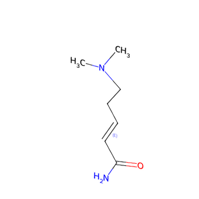 CN(C)CC/C=C/C(N)=O